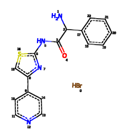 Br.NC(C(=O)Nc1nc(-c2ccncc2)cs1)c1ccccc1